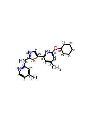 CCc1ccnc(Nc2ncc(-c3cc(C)nc(OC4CCCCC4)n3)s2)c1